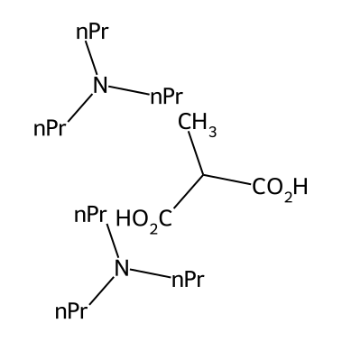 CC(C(=O)O)C(=O)O.CCCN(CCC)CCC.CCCN(CCC)CCC